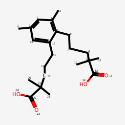 Cc1cc(C)c(CCCC(C)(C)C(=O)O)c(CCCC(C)(C)C(=O)O)c1